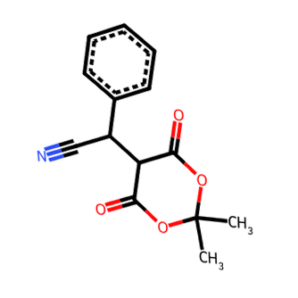 CC1(C)OC(=O)C(C(C#N)c2ccccc2)C(=O)O1